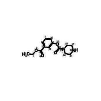 CCOC(=O)c1cccc(OC(=O)N2CCNCC2)c1